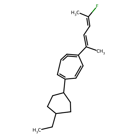 CCC1CCC(C2=CC=C=C(/C(C)=C/C=C(\C)F)C=C2)CC1